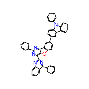 c1ccc(-c2nc(-c3nc(-c4ccccc4)c4ccccc4n3)c3oc4ccc(-c5ccc6c(c5)c5ccccc5n6-c5ccccc5)cc4c3n2)cc1